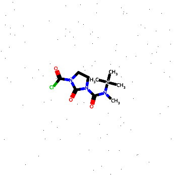 CN(C(=O)N1CCN(C(=O)Cl)C1=O)[Si](C)(C)C